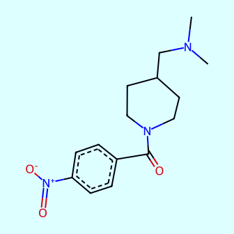 CN(C)CC1CCN(C(=O)c2ccc([N+](=O)[O-])cc2)CC1